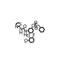 COc1cccc(F)c1Oc1ccc(OS(=O)(=O)Cc2ccccc2)cc1NC(=O)Nc1nccs1